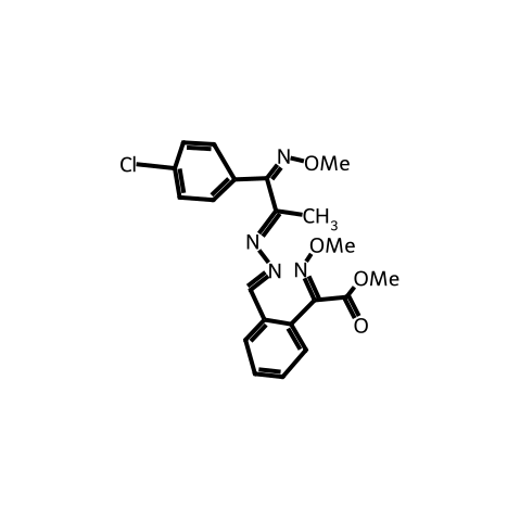 CO\N=C(/C(C)=N/N=C/c1ccccc1/C(=N/OC)C(=O)OC)c1ccc(Cl)cc1